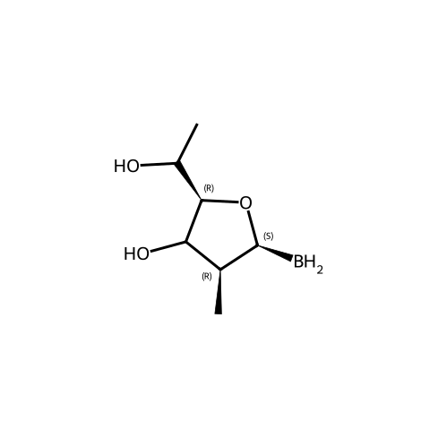 B[C@@H]1O[C@H](C(C)O)C(O)[C@@H]1C